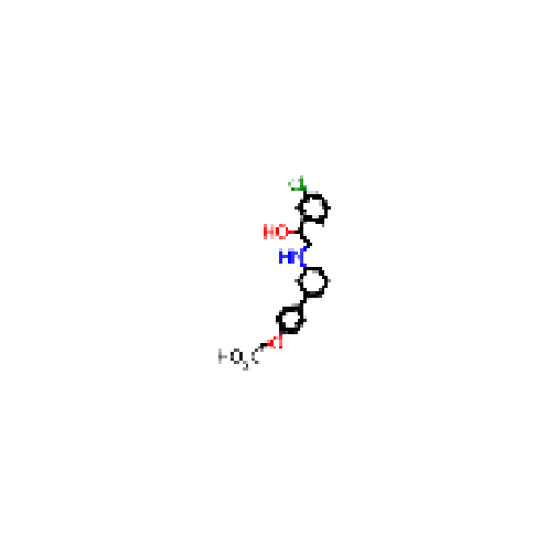 O=C(O)COc1ccc(C2CCCC(NCC(O)c3cccc(Cl)c3)C2)cc1